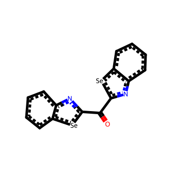 O=C(c1nc2ccccc2[se]1)c1nc2ccccc2[se]1